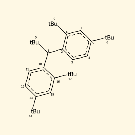 [CH2]C([CH2])([CH2])[C](c1ccc(C(C)(C)C)cc1C(C)(C)C)c1ccc(C(C)(C)C)cc1C(C)(C)C